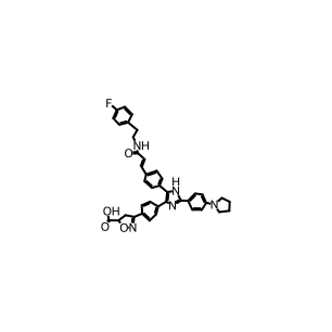 O=C(/C=C/c1ccc(-c2[nH]c(-c3ccc(N4CCCC4)cc3)nc2-c2ccc(C3=NOC(C(=O)O)C3)cc2)cc1)NCCc1ccc(F)cc1